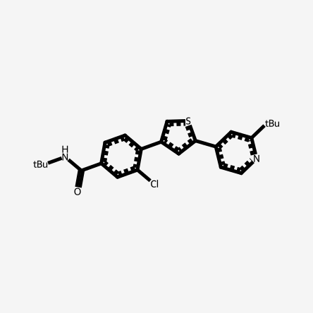 CC(C)(C)NC(=O)c1ccc(-c2csc(-c3ccnc(C(C)(C)C)c3)c2)c(Cl)c1